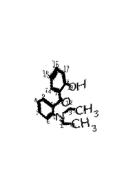 CCN(CC)c1ccccc1C(=O)c1ccccc1O